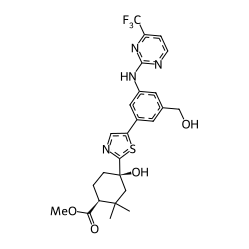 COC(=O)[C@H]1CC[C@](O)(c2ncc(-c3cc(CO)cc(Nc4nccc(C(F)(F)F)n4)c3)s2)CC1(C)C